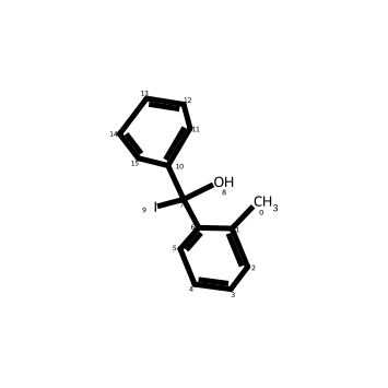 Cc1ccccc1C(O)(I)c1ccccc1